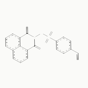 C=Cc1ccc(S(=O)(=O)ON2C(=O)c3cccc4cccc(c34)C2=O)cc1